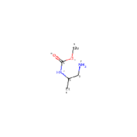 CCC(CN)NC(=O)OC(C)(C)C